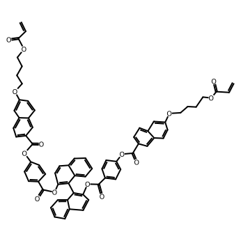 C=CC(=O)OCCCCOc1ccc2cc(C(=O)Oc3ccc(C(=O)Oc4ccc5ccccc5c4-c4c(OC(=O)c5ccc(OC(=O)c6ccc7cc(OCCCCOC(=O)C=C)ccc7c6)cc5)ccc5ccccc45)cc3)ccc2c1